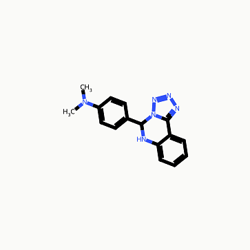 CN(C)c1ccc(C2Nc3ccccc3-c3nnnn32)cc1